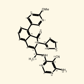 COc1ncc(-c2cccc3cc([C@H](C)Nc4ncnc(N)c4C#N)n(-c4ccon4)c(=O)c23)cn1